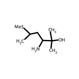 CSC(C)CC(N)C(C)(C)O